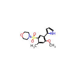 COc1cc(C)c(S(=O)(=O)N2CCOCC2)cc1-c1ccc[nH]1